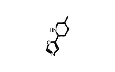 CC1CCC(c2cnco2)NC1